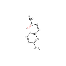 Cc1cccc(/C=C\C(=O)N=O)c1